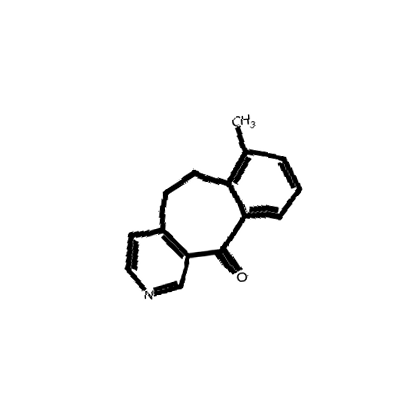 Cc1cccc2c1CCc1ccncc1C2=O